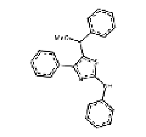 COC(c1ccccc1)c1sc(Nc2ccccc2)nc1-c1ccccc1